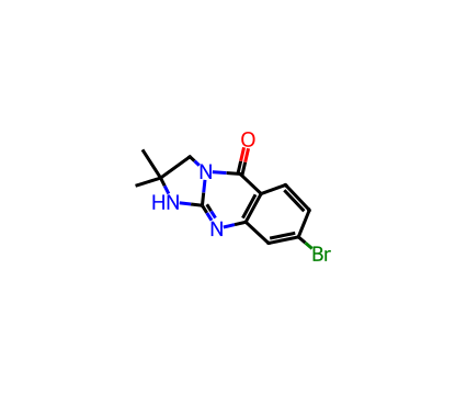 CC1(C)Cn2c(nc3cc(Br)ccc3c2=O)N1